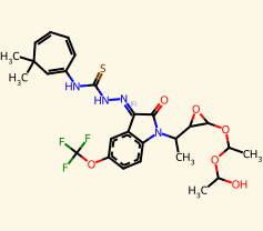 CC(O)OC(C)OC1OC1C(C)N1C(=O)/C(=N/NC(=S)NC2=CC(C)(C)C=CC=C2)c2cc(OC(F)(F)F)ccc21